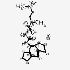 CC(=O)N(C)CCN(C)S(=O)(=O)NC(=O)Nc1c2c(cc3c1CCC3)CCC2.[K]